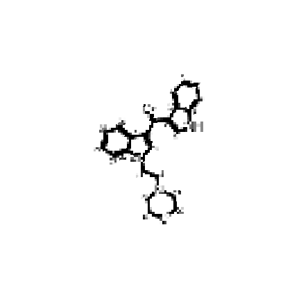 O=C(c1c[nH]c2ccccc12)c1cn(CCN2CCOCC2)c2ccccc12